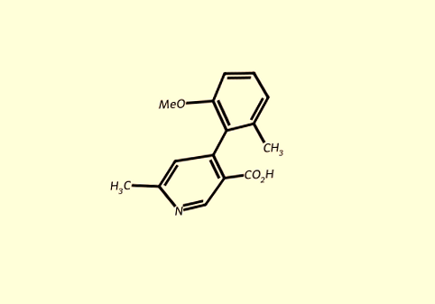 COc1cccc(C)c1-c1cc(C)ncc1C(=O)O